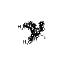 COC(=O)Nc1ccc(-c2cn(COCC[Si](C)(C)C)c(C(=O)c3ccc(Br)cn3)n2)c(NC(=O)C(C)(C)CCCS(=O)(=O)c2nc3ccccc3s2)c1